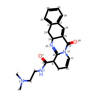 CN(C)CCNC(=O)C1CC=CN2C(=O)C3=Cc4ccccc4CC3N=C12